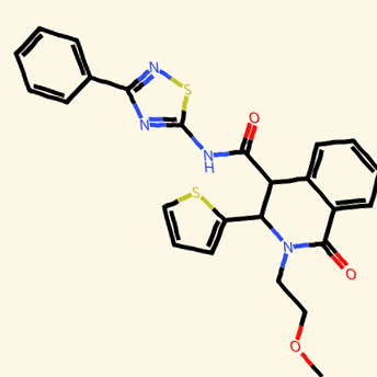 COCCN1C(=O)c2ccccc2C(C(=O)Nc2nc(-c3ccccc3)ns2)C1c1cccs1